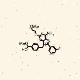 COCCOc1nc(N)c2nc(-c3cncc(F)c3)n(Cc3ccc(C(O)OC)cc3)c2n1